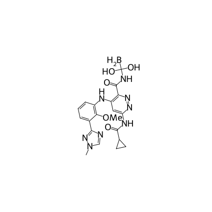 BC(O)(O)NC(=O)c1nnc(NC(=O)C2CC2)cc1Nc1cccc(-c2ncn(C)n2)c1OC